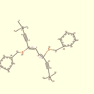 C[Si](C)(C)C#C/C(=C/C=C(/C#C[Si](C)(C)C)SCc1ccccc1)SCc1ccccc1